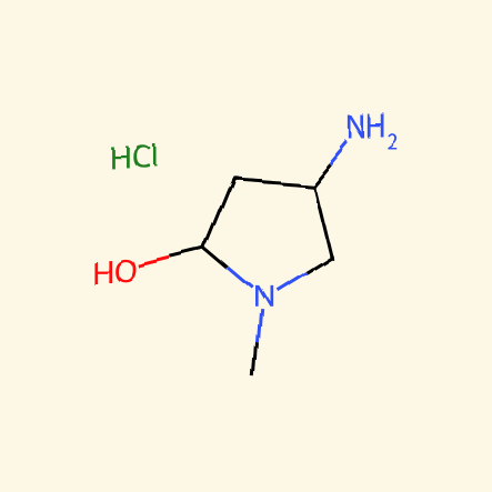 CN1CC(N)CC1O.Cl